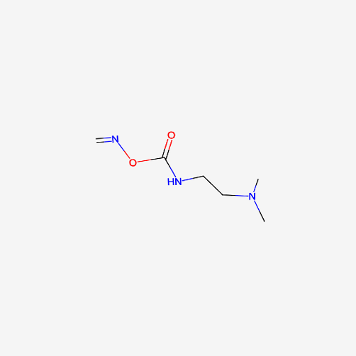 C=NOC(=O)NCCN(C)C